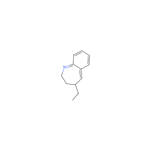 CCC1C=c2ccccc2=NCC1